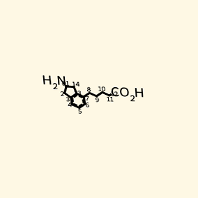 NC1Cc2cccc(CCCCC(=O)O)c2C1